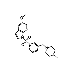 COc1ccc2c(ccn2S(=O)(=O)c2cccc(CN3CCN(C)CC3)c2)c1